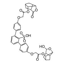 O=C(COc1ccc(-c2cccc(-c3ccc(OCC(=O)OC4C5CC6C(O)OC4C6C5)cc3)c2S(=O)(=O)O)cc1)OC1C2CC3C(=O)OC1C3C2